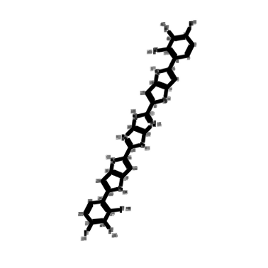 Fc1ccc(-c2cc3sc(-c4nc5sc(-c6cc7sc(-c8ccc(F)c(F)c8F)cc7s6)nc5s4)cc3s2)c(F)c1F